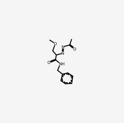 COCC(N=NC(C)=O)C(=O)NCc1ccccc1